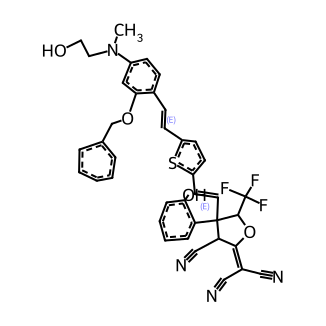 CN(CCO)c1ccc(/C=C/c2ccc(/C=C/C3(c4ccccc4O)C(C#N)C(=C(C#N)C#N)OC3C(F)(F)F)s2)c(OCc2ccccc2)c1